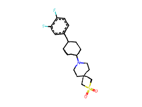 O=S1(=O)CC2(CCN(C3CCC(c4ccc(F)c(F)c4)CC3)CC2)C1